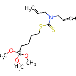 C=CCN(CC=C)C(=S)SCCCC[Si](OC)(OC)OC